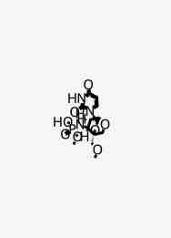 COC[C@]12COC(C[C@H]1NP(=O)(O)OC)[C@H](n1ccc(=O)[nH]c1=O)O2